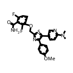 COc1ccc(-c2nc(COc3ccc(F)c(C(N)=O)c3F)sc2-c2ccc(N(C)C)nc2)cc1